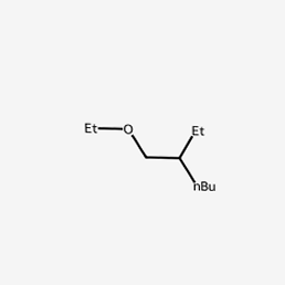 CCCCC(CC)COCC